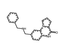 O=c1[nH]c2ccc(CNCc3ccccc3)cc2n2cccc12